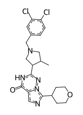 CC1CN(Cc2ccc(Cl)c(Cl)c2)CC1c1nn2c(C3CCOCC3)ncc2c(=O)[nH]1